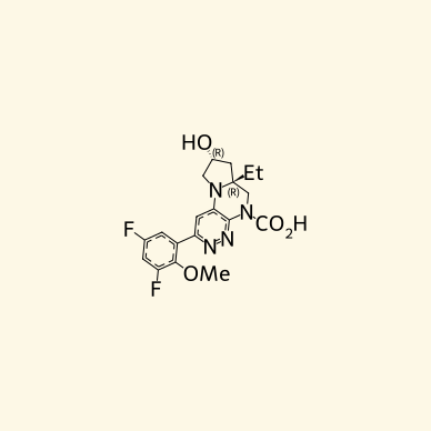 CC[C@]12C[C@@H](O)CN1c1cc(-c3cc(F)cc(F)c3OC)nnc1N(C(=O)O)C2